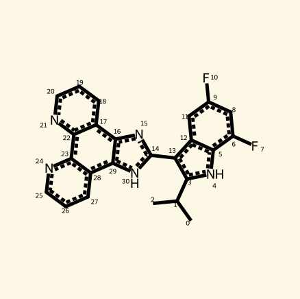 CC(C)c1[nH]c2c(F)cc(F)cc2c1-c1nc2c3cccnc3c3ncccc3c2[nH]1